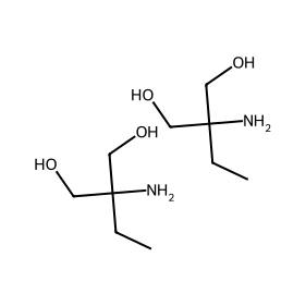 CCC(N)(CO)CO.CCC(N)(CO)CO